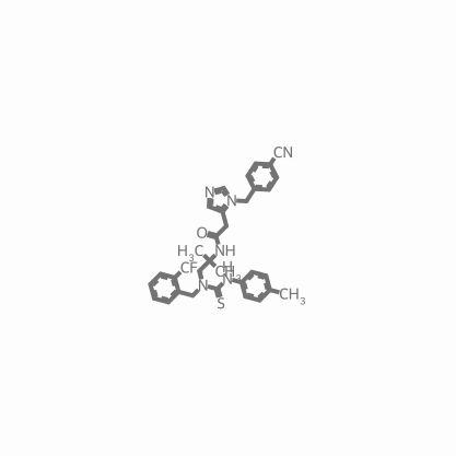 Cc1ccc(NC(=S)N(Cc2ccccc2C(F)(F)F)CC(C)(C)NC(=O)Cc2cncn2Cc2ccc(C#N)cc2)cc1